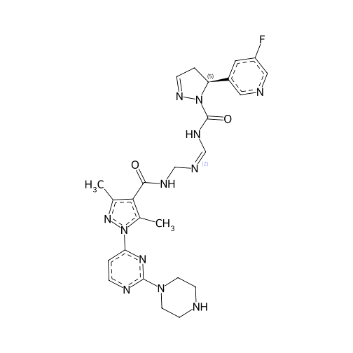 Cc1nn(-c2ccnc(N3CCNCC3)n2)c(C)c1C(=O)NC/N=C\NC(=O)N1N=CC[C@H]1c1cncc(F)c1